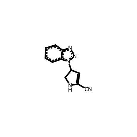 N#CC1=CC(n2nnc3ccccc32)CN1